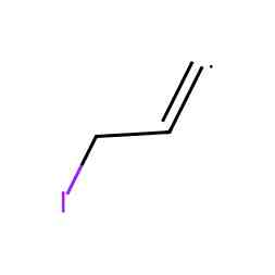 [CH]=CCI